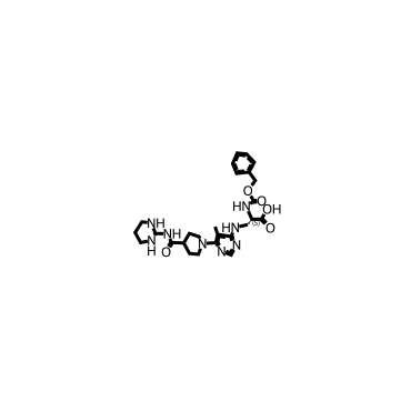 Cc1c(NC[C@H](NC(=O)OCc2ccccc2)C(=O)O)ncnc1N1CCC(C(=O)NC2NCCCN2)CC1